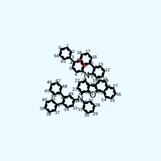 c1ccc(-c2ccc(N(c3ccccc3-c3ccccc3)c3ccc(N(c4ccccc4)c4ccc(-c5ccccc5)c(-c5ccccc5)c4)c4oc5c6ccccc6ccc5c34)cc2)cc1